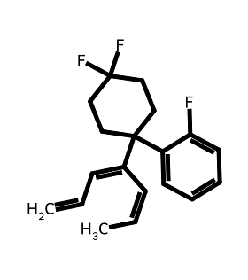 C=C/C=C(\C=C/C)C1(c2ccccc2F)CCC(F)(F)CC1